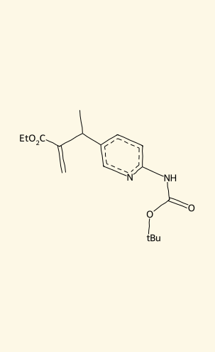 C=C(C(=O)OCC)C(C)c1ccc(NC(=O)OC(C)(C)C)nc1